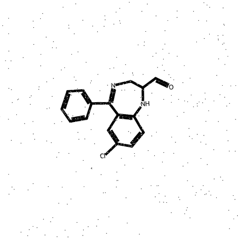 O=CC1CN=C(c2ccccc2)c2cc(Cl)ccc2N1